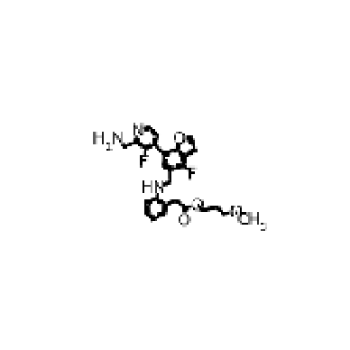 COCCCOC(=O)Cc1ccccc1NCc1cc(-c2ccnc(CN)c2F)c2occc2c1F